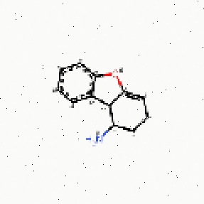 NC1CCC=C2Oc3ccccc3C21